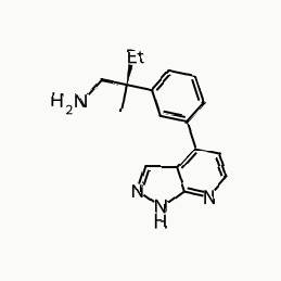 CC[C@@](C)(CN)c1cccc(-c2ccnc3[nH]ncc23)c1